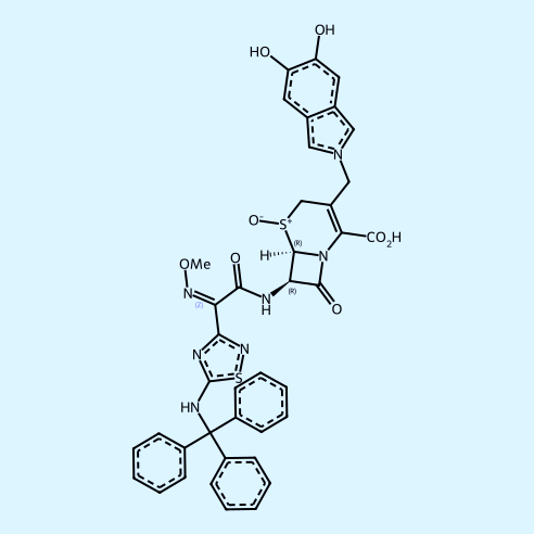 CO/N=C(\C(=O)N[C@@H]1C(=O)N2C(C(=O)O)=C(Cn3cc4cc(O)c(O)cc4c3)C[S+]([O-])[C@H]12)c1nsc(NC(c2ccccc2)(c2ccccc2)c2ccccc2)n1